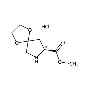 COC(=O)[C@@H]1CC2(CN1)OCCO2.Cl